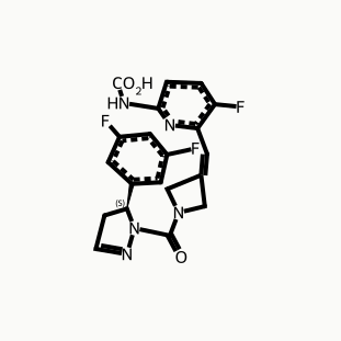 O=C(O)Nc1ccc(F)c(C=C2CN(C(=O)N3N=CC[C@H]3c3cc(F)cc(F)c3)C2)n1